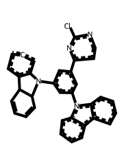 Clc1nccc(-c2cc(N3c4ccccc4C4C=CC=CC43)cc(-n3c4ccccc4c4ccccc43)c2)n1